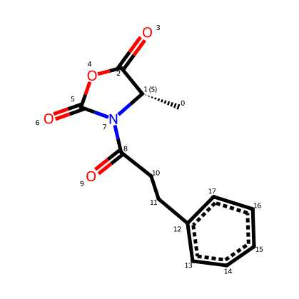 C[C@H]1C(=O)OC(=O)N1C(=O)CCc1ccccc1